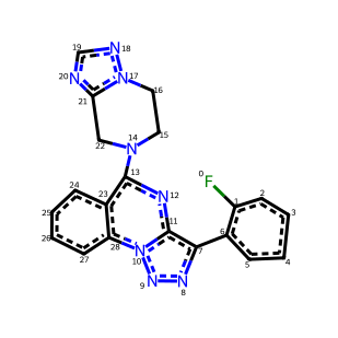 Fc1ccccc1-c1nnn2c1nc(N1CCn3ncnc3C1)c1ccccc12